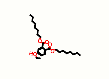 CCCCCCCCOC(=O)c1ccccc1C(=O)OCCCCCCCC.CCO